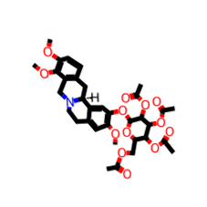 COc1cc2c(cc1OC1OC(COC(C)=O)C(OC(C)=O)C(OC(C)=O)C1OC(C)=O)[C@@H]1Cc3ccc(OC)c(OC)c3CN1CC2